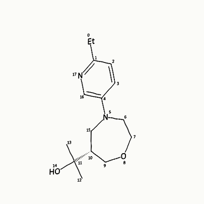 CCc1ccc(N2CCOC[C@H](C(C)(C)O)C2)cn1